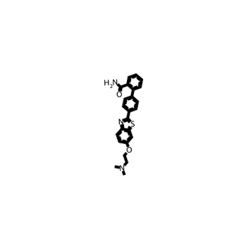 CN(C)CCOc1ccc2nc(-c3ccc(-c4ccccc4C(N)=O)cc3)sc2c1